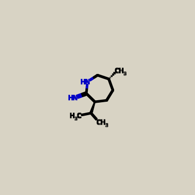 CC(C)[C@@H]1CC[C@@H](C)CNC1=N